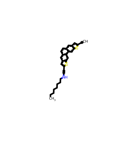 C#Cc1cc2cc3ccc4cc5cc(C#CNCCCCCCCC)sc5cc4c3cc2s1